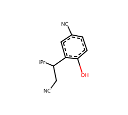 CC(C)C(CC#N)c1cc(C#N)ccc1O